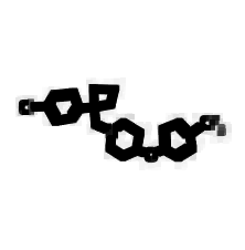 FC(F)(F)c1ccc(OC2CCN(CC3(c4ccc(Cl)cc4)CCC3)CC2)cc1